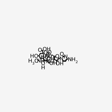 CNC1C(O)CC(OP(=O)(O)OC[C@H]2O[C@@H](n3ccc(N)nc3=O)[C@@H](O)C2O)(C(=O)O)OC1[C@H](O)[C@H](O)CO